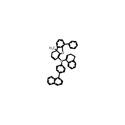 CC12CC=CC(N(C3=CCCc4ccccc43)c3ccc(-c4cccc5ccccc45)cc3)=C1Oc1c(-c3ccccc3)cccc12